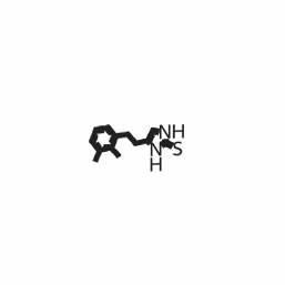 Cc1cccc(CCc2c[nH]c(=S)[nH]2)c1C